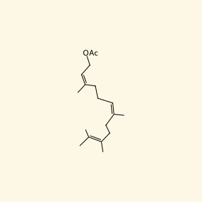 CC(=O)OCC=C(C)CCC=C(C)CCC(C)=C(C)C